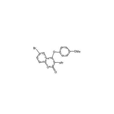 CCCc1c(Oc2ccc(OC)cc2)c2cc(Br)ccc2oc1=O